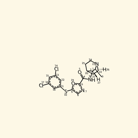 C[C@H]1[C@H](NC(=O)c2ncc(Sc3cc(Cl)cc(Cl)c3)o2)C2CCN1CC2